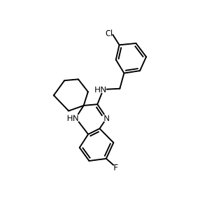 Fc1ccc2c(c1)N=C(NCc1cccc(Cl)c1)C1(CCCCC1)N2